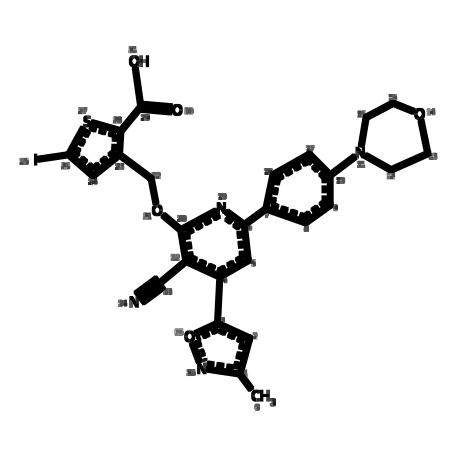 Cc1cc(-c2cc(-c3ccc(N4CCOCC4)cc3)nc(OCc3cc(I)sc3C(=O)O)c2C#N)on1